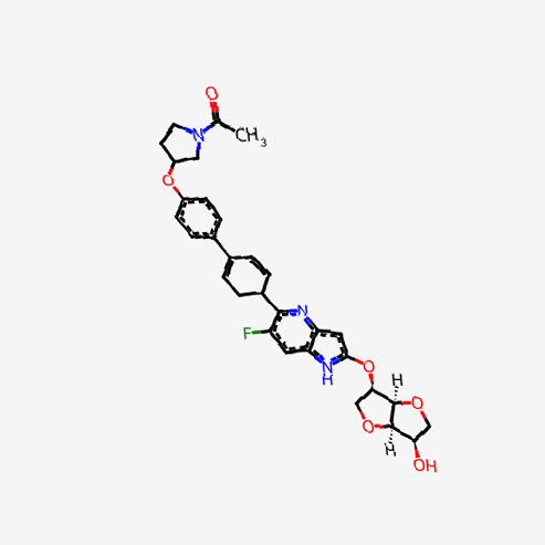 CC(=O)N1CCC(Oc2ccc(C3=CCC(c4nc5cc(O[C@@H]6CO[C@H]7[C@@H]6OC[C@H]7O)[nH]c5cc4F)C=C3)cc2)C1